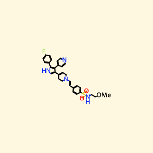 COCCNS(=O)(=O)c1ccc(C=CN2CC=C(c3c[nH]c(-c4ccc(F)cc4)c3-c3ccncc3)CC2)cc1